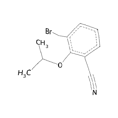 CC(C)Oc1c(Br)cccc1C#N